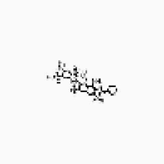 Nc1cc(S(=O)(=O)O)c(N=Nc2c(S(=O)(=O)O)cc3cc(S(=O)(=O)O)c(N=Nc4ccccc4)c(N)c3c2C=O)cc1S(=O)(=O)O